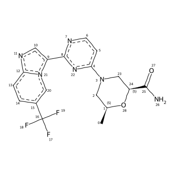 C[C@H]1CN(c2ccnc(-c3cnc4ccc(C(F)(F)F)cn34)n2)C[C@@H](C(N)=O)O1